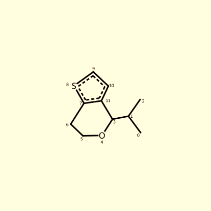 CC(C)C1OCCc2sccc21